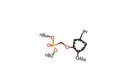 CCCCOP(=O)(COc1cc(C(C)C)ccc1OC)OCCCC